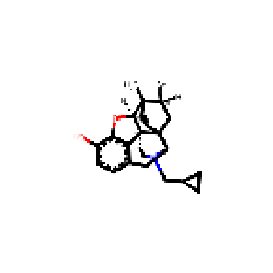 CC(=O)[C@@H]1CC23C=CC1(C)[C@@H]1Oc4c(O)ccc5c4[C@@]12CCN(CC1CC1)C3C5